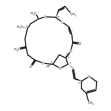 C=C1CC(=O)C[C@H]2C[C@H](OC(=O)/C=C\C[C@H](/C=C\C)OC(C)C[C@@H](C)C1)[C@H](/C=C/[C@@H]1CC(C)=CCO1)O2